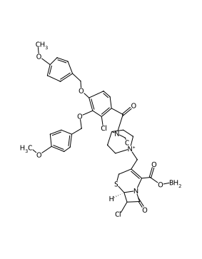 BOC(=O)C1=C(C[N+]23CCC(CC2)N(C(=O)c2ccc(OCc4ccc(OC)cc4)c(OCc4ccc(OC)cc4)c2Cl)CC3)CS[C@@H]2C(Cl)C(=O)N12